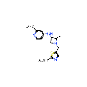 COc1cc(N[C@H]2CN(Cc3cnc(NC(C)=O)s3)[C@@H]2C)ccn1